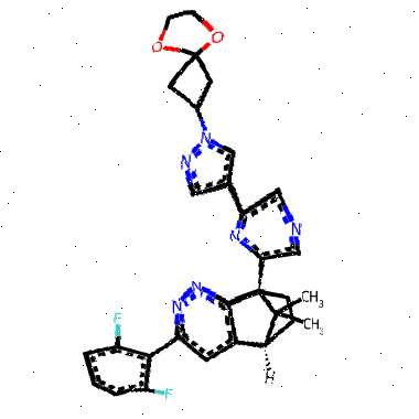 CC1(C)[C@H]2CC[C@@]1(c1cncc(-c3cnn(C4CC5(C4)OCCO5)c3)n1)c1nnc(-c3c(F)cccc3F)cc12